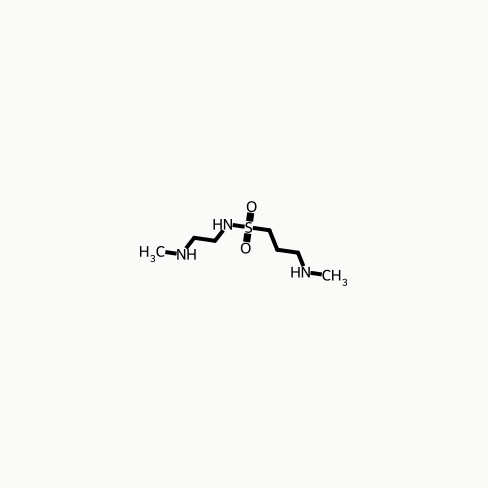 CNCCCS(=O)(=O)NCCNC